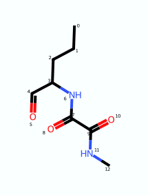 CCCC(C=O)NC(=O)C(=O)NC